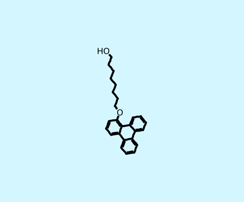 OCCCCCCCCOc1cccc2c3ccccc3c3ccccc3c12